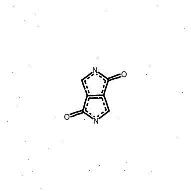 O=c1ncc2c(=O)ncc1=2